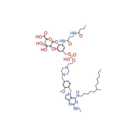 CCCCCCC(C)CCCCCNc1nc(N)nc2ccn(Cc3ccc(CN4CCN(CCOP(=O)(O)OCc5ccc(O[C@@H]6O[C@H](C(=O)O)[C@@H](O)[C@H](O)[C@H]6O)c(NC(=O)CCNC(=O)CCC)c5)CC4)cc3OC)c12